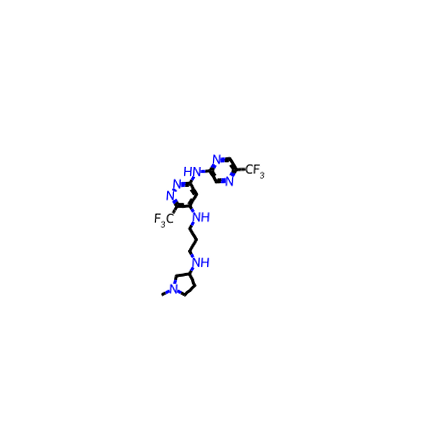 CN1CCC(NCCCNc2cc(Nc3cnc(C(F)(F)F)cn3)nnc2C(F)(F)F)C1